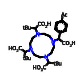 CC(=O)c1ccc(C(C(=O)O)N2CCN(C(C(=O)O)C(C)(C)C)CCN(C(C(=O)O)C(C)(C)C)CCN(C(C(=O)O)C(C)(C)C)CC2)cc1